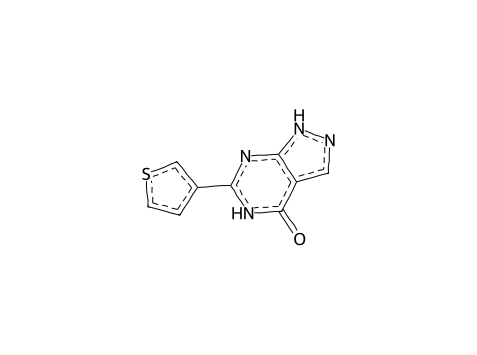 O=c1[nH]c(-c2ccsc2)nc2[nH]ncc12